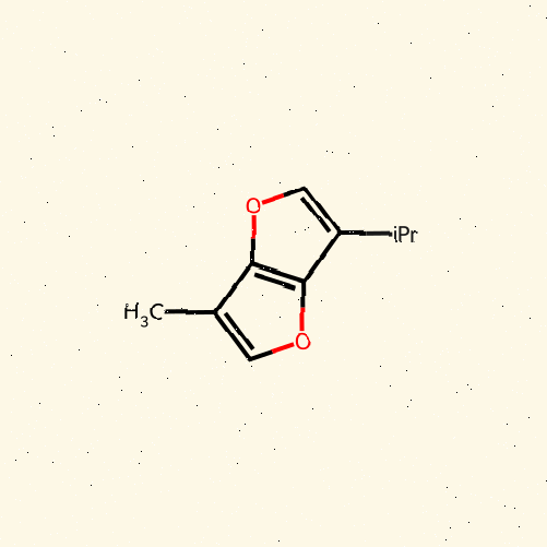 Cc1coc2c(C(C)C)coc12